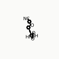 N#Cc1ccc(C(=O)c2cccc(C#Cc3c[nH]c(=O)[nH]c3=O)c2)cc1